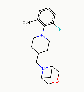 O=[N+]([O-])c1cccc(F)c1N1CCC(CN2C3COCC2C3)CC1